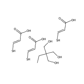 CCC(CO)(CO)CO.O=C(O)C=CS.O=C(O)C=CS.O=C(O)C=CS